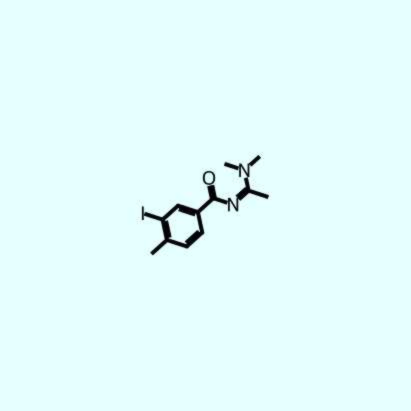 CC(=NC(=O)c1ccc(C)c(I)c1)N(C)C